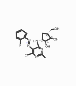 Cc1nc(Cl)c(/N=N/c2ccccc2F)c(N[C@@H]2C[C@H](CO)[C@@H](O)[C@H]2O)n1